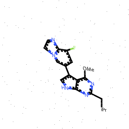 COc1nc(CC(C)C)nc2[nH]cc(-c3cc(F)c4nccn4c3)c12